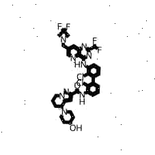 O=C(Nc1cccc(-c2cccc(Nc3nc(C(F)F)nc4cc(CN5CC(F)(F)C5)cnc34)c2Cl)c1Cl)c1cc2n(n1)CCC[C@@H]2N1CCC(O)CC1